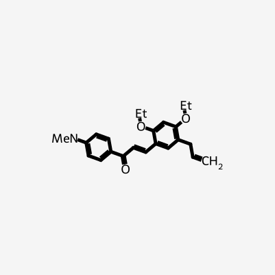 C=CCc1cc(/C=C/C(=O)c2ccc(NC)cc2)c(OCC)cc1OCC